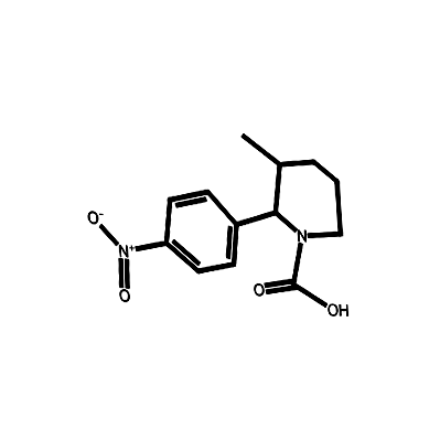 CC1CCCN(C(=O)O)C1c1ccc([N+](=O)[O-])cc1